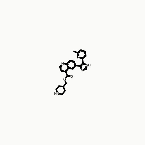 Cc1cccc(-c2[nH]cnc2-c2ccc3nccc(C(=O)OCC4CCNCC4)c3c2)n1